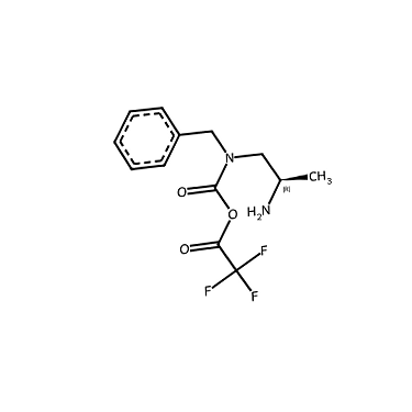 C[C@@H](N)CN(Cc1ccccc1)C(=O)OC(=O)C(F)(F)F